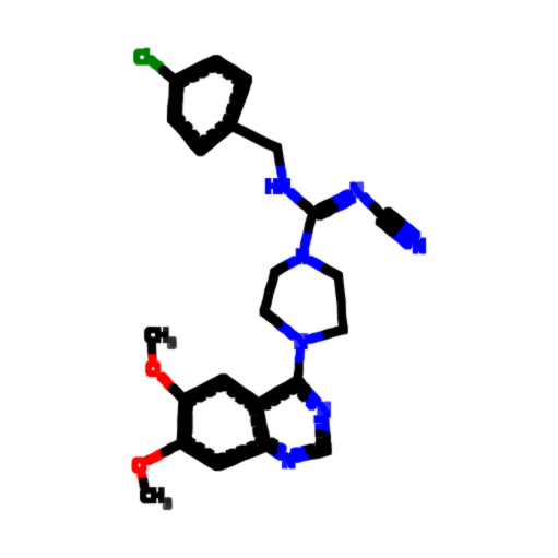 COc1cc2ncnc(N3CCN(/C(=N\C#N)NCc4ccc(Cl)cc4)CC3)c2cc1OC